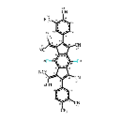 N#CC(C#N)=C1C(c2ccc(C(F)(F)F)c(C#N)c2)=C(C#N)c2c(F)c3c(c(F)c21)C(=C(C#N)C#N)C(c1ccc(C#N)c(C(F)(F)F)c1)=C3C#N